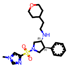 Cn1cnc(S(=O)(=O)N2C[C@H](NCCC3CCOCC3)[C@@H](c3ccccc3)C2)c1